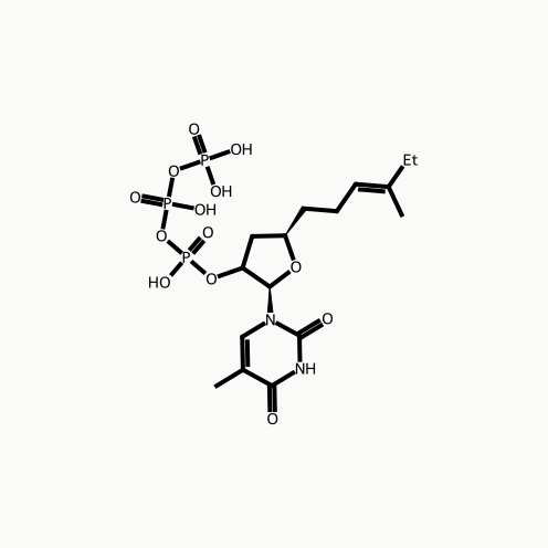 CCC(C)=CCC[C@@H]1CC(OP(=O)(O)OP(=O)(O)OP(=O)(O)O)[C@H](n2cc(C)c(=O)[nH]c2=O)O1